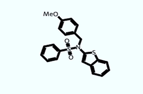 COc1ccc(CN(c2cc3ccccc3s2)S(=O)(=O)c2ccccc2)cc1